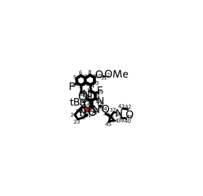 C#Cc1c(F)ccc2cc(OCOC)cc(-c3ncc4c(N5CC6CCC(C5)N6C(=O)OC(C)(C)C)nc(OCC5(CN6CCOCC6)CC5)nc4c3F)c12